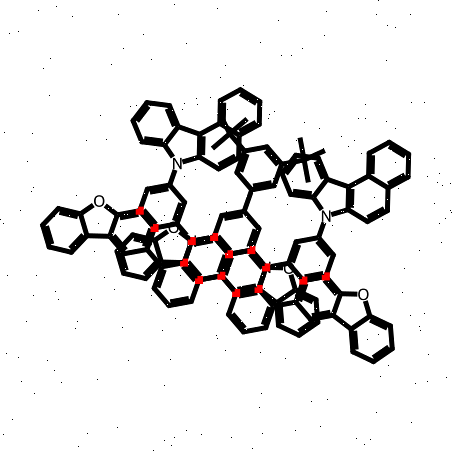 CC(C)(C)c1cc(-c2cc(N(c3cccc(-n4c5ccccc5c5c6ccccc6ccc54)c3)c3c(-c4ccc5oc6ccccc6c5c4)cccc3-c3ccc4oc5ccccc5c4c3)cc(N(c3cccc(-n4c5ccccc5c5c6ccccc6ccc54)c3)c3c(-c4ccc5oc6ccccc6c5c4)cccc3-c3ccc4oc5ccccc5c4c3)c2)cc(C(C)(C)C)c1